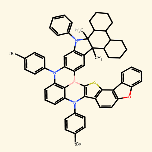 CC(C)(C)c1ccc(N2c3cc4c(cc3B3c5sc6c(ccc7oc8ccccc8c76)c5N(c5ccc(C(C)(C)C)cc5)c5cccc2c53)C2(C)C3CCCCC3C3CCCCC3C2(C)N4c2ccccc2)cc1